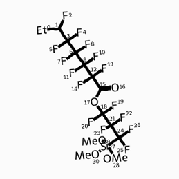 CCC(F)C(F)(F)C(F)(F)C(F)(F)C(F)(F)C(=O)OC(F)(F)C(F)(F)C(F)(F)[Si](OC)(OC)OC